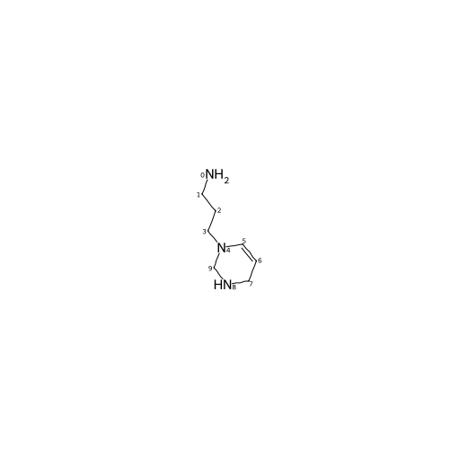 NCCCN1C=CCNC1